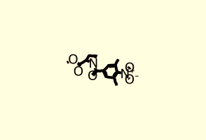 COC(=O)C1CCN1C(=O)c1cc(C)c([N+](=O)[O-])c(C)c1